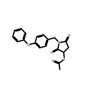 CC(=O)SC1CC(=O)N(Cc2ccc(Oc3ccccc3)cc2)C1=O